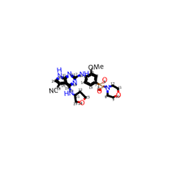 COc1cc(S(=O)(=O)N2CCOCC2)ccc1Nc1nc(NC2CCOC2)c2c(C#N)c[nH]c2n1